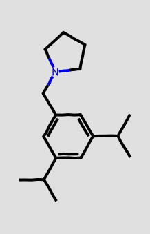 CC(C)c1cc(CN2CCCC2)cc(C(C)C)c1